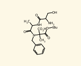 CC(NC(=O)C(N)CO)C(=O)N(Cc1ccccc1)C(C)(C(=O)O)C(=O)OC(C)(C)C